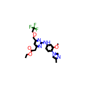 CCOC(=O)Cc1cc(COCC(F)(F)F)nc(Nc2ccc(-n3cnc(C)c3)c(OC)c2)n1